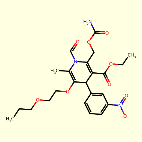 CCCOCCOC1=C(C)N(C=O)C(COC(N)=O)=C(C(=O)OCC)C1c1cccc([N+](=O)[O-])c1